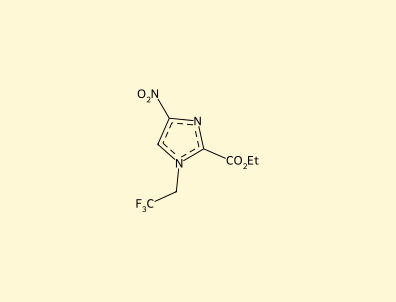 CCOC(=O)c1nc([N+](=O)[O-])cn1CC(F)(F)F